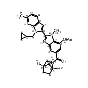 COc1cc(C(=O)N2C[C@H]3CC[C@@H]2[C@@H]3N)cc2nc(-c3cc4ccc(C)nc4n3CC3CC3)n(C)c12